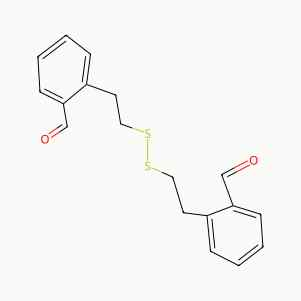 O=Cc1ccccc1CCSSCCc1ccccc1C=O